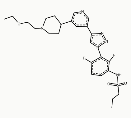 CCCS(=O)(=O)Nc1ccc(F)c(-n2cc(-c3cncc(N4CCN(CCOCC)CC4)c3)nn2)c1F